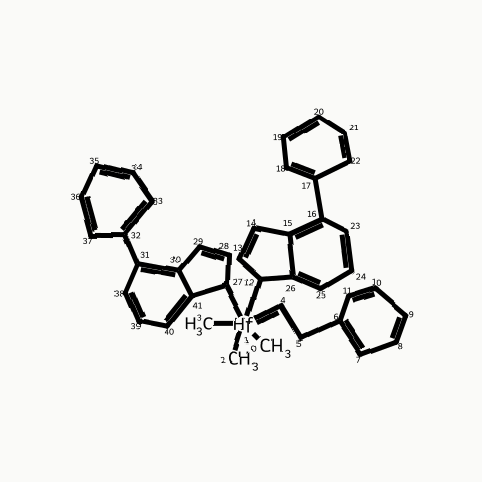 [CH3][Hf]([CH3])([CH3])(=[CH]Cc1ccccc1)([CH]1C=Cc2c(-c3ccccc3)cccc21)[CH]1C=Cc2c(-c3ccccc3)cccc21